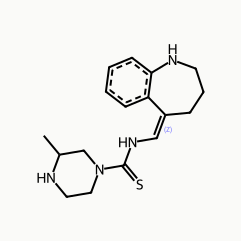 CC1CN(C(=S)N/C=C2/CCCNc3ccccc32)CCN1